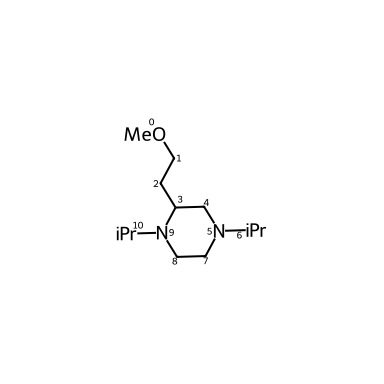 COCCC1CN(C(C)C)CCN1C(C)C